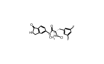 CN(C(=O)[C@H](Cc1cc(F)cc(F)c1)NCl)c1ccc2c(c1)CNC2=O